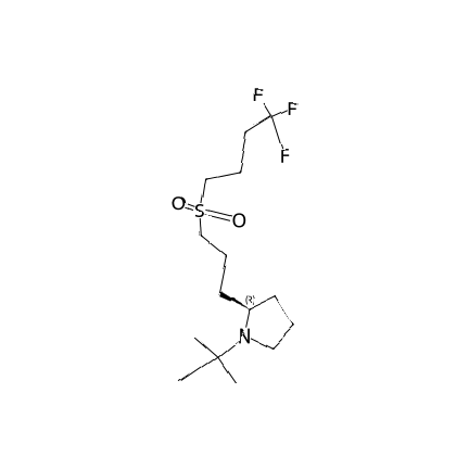 CC(C)(C)N1CCC[C@@H]1CCCS(=O)(=O)CCCC(F)(F)F